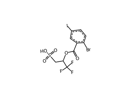 O=C(OC(CS(=O)(=O)O)C(F)(F)F)c1cc(I)ccc1Br